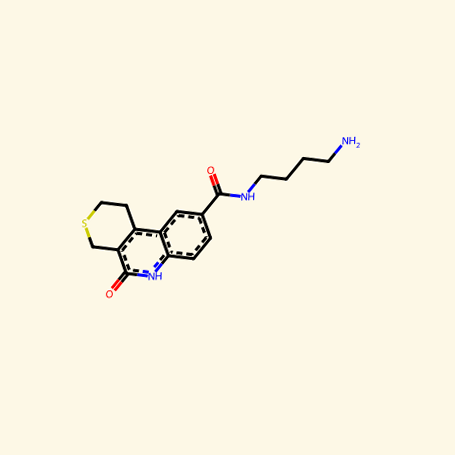 NCCCCNC(=O)c1ccc2[nH]c(=O)c3c(c2c1)CCSC3